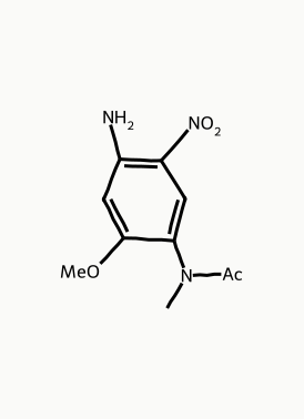 COc1cc(N)c([N+](=O)[O-])cc1N(C)C(C)=O